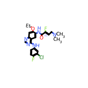 CCOc1cc2ncnc(Nc3ccc(F)c(Cl)c3)c2cc1NC(=O)/C(F)=C/CN(C)C